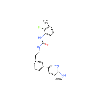 O=C(NCCc1cccc(-c2cnc3[nH]ccc3c2)c1)Nc1cccc(C(F)(F)F)c1F